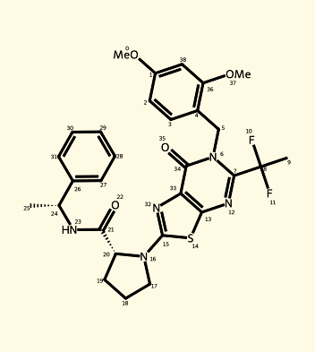 COc1ccc(Cn2c(C(C)(F)F)nc3sc(N4CCC[C@@H]4C(=O)N[C@H](C)c4ccccc4)nc3c2=O)c(OC)c1